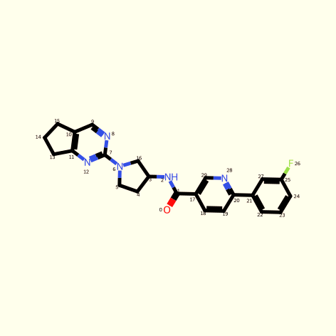 O=C(NC1CCN(c2ncc3c(n2)CCC3)C1)c1ccc(-c2cccc(F)c2)nc1